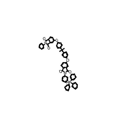 CC(C)(c1ccc(Oc2ccc3c(c2)C(=O)N(c2ccccc2)C3=O)cc1)c1ccc(Oc2ccc3c(c2)C(=O)N(c2cccc([PH](c4ccccc4)(c4ccccc4)c4ccccc4)c2)C3=O)cc1